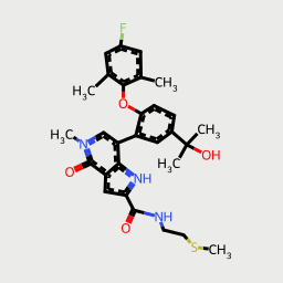 CSCCNC(=O)c1cc2c(=O)n(C)cc(-c3cc(C(C)(C)O)ccc3Oc3c(C)cc(F)cc3C)c2[nH]1